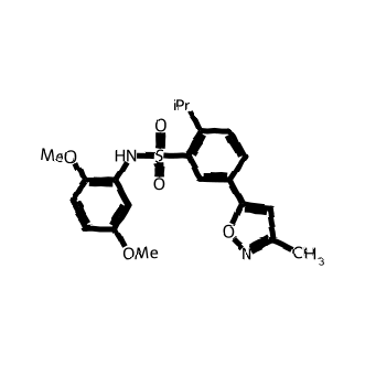 COc1ccc(OC)c(NS(=O)(=O)c2cc(-c3cc(C)no3)ccc2C(C)C)c1